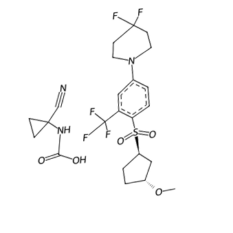 CO[C@@H]1CC[C@@H](S(=O)(=O)c2ccc(N3CCC(F)(F)CC3)cc2C(F)(F)F)C1.N#CC1(NC(=O)O)CC1